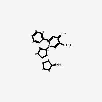 NC1CCCC1.O=C(O)c1cn(C2CCCC2)c(-c2ccccc2)cc1=O